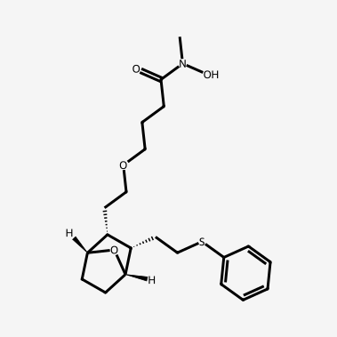 CN(O)C(=O)CCCOCC[C@@H]1[C@H](CCSc2ccccc2)[C@@H]2CC[C@H]1O2